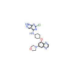 Clc1nc(N[C@H]2CC[C@@H](Oc3cc(N4CCOCC4)cc4nccnc34)CC2)c2cn[nH]c2n1